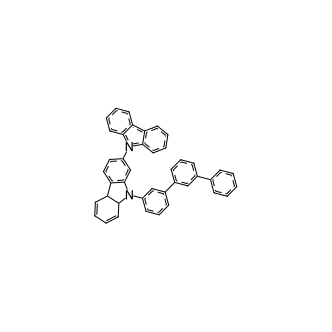 C1=CC2c3ccc(-n4c5ccccc5c5ccccc54)cc3N(c3cccc(-c4cccc(-c5ccccc5)c4)c3)C2C=C1